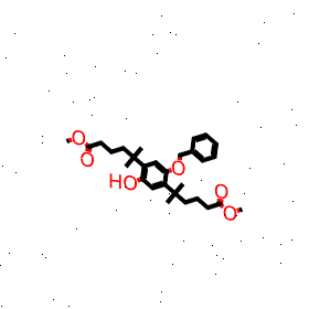 COC(=O)CCCC(C)(C)c1cc(OCc2ccccc2)c(C(C)(C)CCCC(=O)OC)cc1O